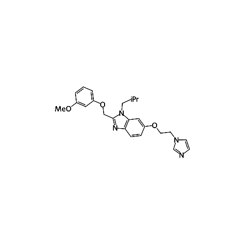 COc1cccc(OCc2nc3ccc(OCCn4ccnc4)cc3n2CC(C)C)c1